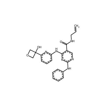 C=CCNC(=O)c1cnc(Nc2ccccc2)nc1Nc1cccc(C2(O)COC2)n1